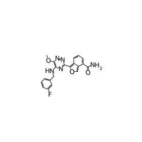 COc1nnc(-c2occ3c(C(N)=O)cccc23)nc1NCc1cccc(F)c1